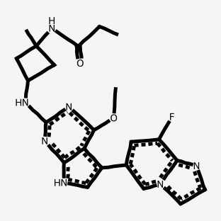 CCC(=O)NC1(C)CC(Nc2nc(OC)c3c(-c4cc(F)c5nccn5c4)c[nH]c3n2)C1